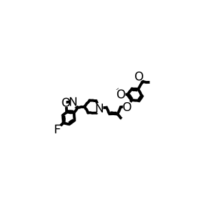 COc1cc(C(C)=O)ccc1OCC(C)=CCN1CCC(c2noc3cc(F)ccc23)CC1